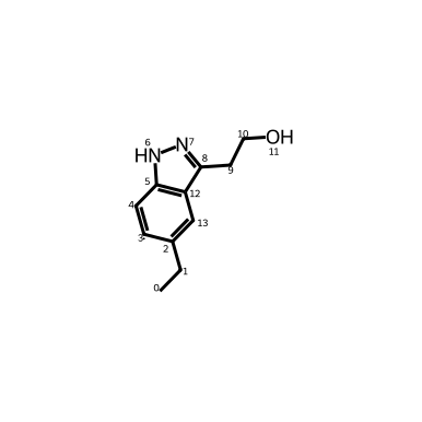 CCc1[c]cc2[nH]nc(CCO)c2c1